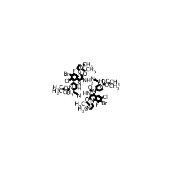 C[C@H](Oc1nc2c(F)c(Br)c(Cl)cc2c(N[C@H]2CCN(C(=O)OC(C)(C)C)[C@H](CC#N)C2)c1N)[C@@H]1CCCN1C.C[C@H](Oc1nc2c(F)c(Br)c(Cl)cc2c2c1[nH]c(=O)n2[C@H]1CCN(C(=O)OC(C)(C)C)[C@H](CC#N)C1)[C@@H]1CCCN1C